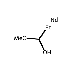 CCC(O)OC.[Nd]